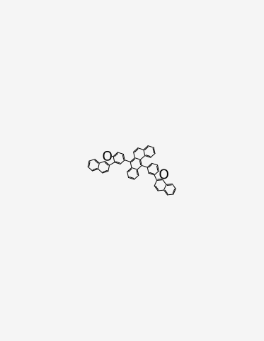 c1ccc2c(c1)ccc1c3cc(-c4c5ccccc5c(-c5ccc6oc7c8ccccc8ccc7c6c5)c5c4ccc4ccccc45)ccc3oc21